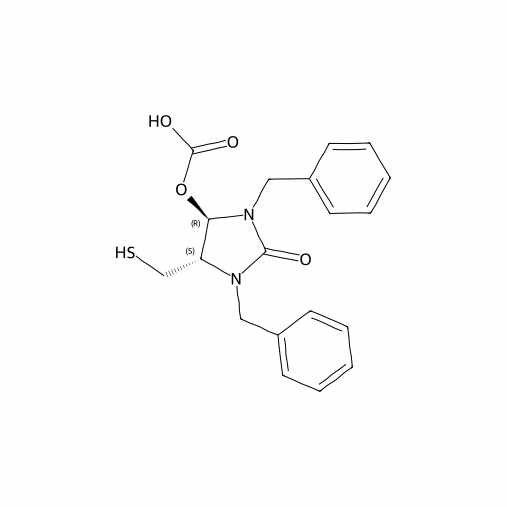 O=C(O)O[C@@H]1[C@@H](CS)N(Cc2ccccc2)C(=O)N1Cc1ccccc1